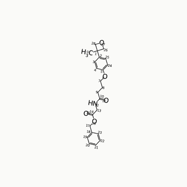 CC1(c2ccc(OCCCC(=O)NCC(=O)OCc3ccccc3)cc2)COC1